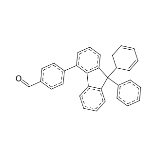 O=Cc1ccc(-c2cccc3c2-c2ccccc2C3(c2ccccc2)C2C=CC=CC2)cc1